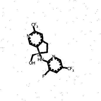 OC[C@]1(Nc2ncc(C(F)(F)F)cc2F)CCc2cc(C(F)(F)F)ncc21